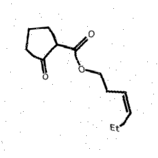 CC/C=C\CCOC(=O)C1CCCC1=O